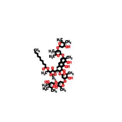 CCCCCCCCCC(=O)O[C@H](C)[C@H](O)C(=O)[C@@H](OC)[C@@H]1Cc2cc3cc(O[C@H]4C[C@@H](OC5C[C@@H](O)[C@@H](C)C(C)O5)[C@@H](C)C(C)O4)c(C)c(O)c3c(O)c2C(=O)[C@H]1O[C@H]1C[C@@H](O[C@H]2C[C@@H](O[C@H]3C[C@@](C)(O)[C@@H](C)C(C)O3)[C@H](O)C(C)O2)[C@H](O)C(C)O1